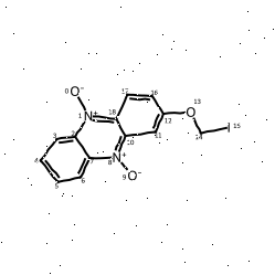 [O-][n+]1c2ccccc2[n+]([O-])c2cc(OCI)ccc21